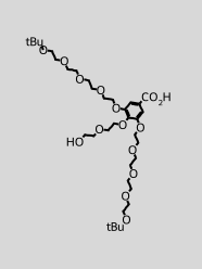 CC(C)(C)OCCOCCOCCOCCOc1cc(C(=O)O)cc(OCCOCCOCCOCCOC(C)(C)C)c1OCCOCCO